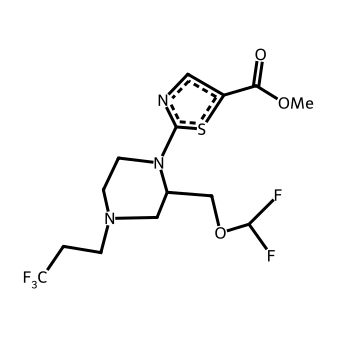 COC(=O)c1cnc(N2CCN(CCC(F)(F)F)CC2COC(F)F)s1